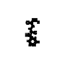 NC(=O)CCC(=O)Nc1ccncc1